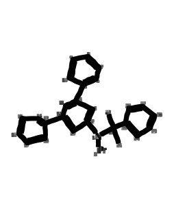 CC(C)N(c1cc(-c2ccccc2)cc(-c2ccccc2)c1)C(C)(C)c1ccccc1